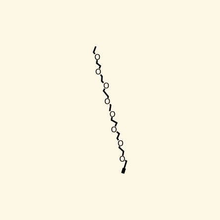 C#CCOCCOCCOCCOCCOCCOCCOCCOCC